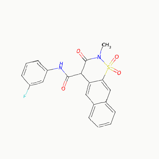 CN1C(=O)C(C(=O)Nc2cccc(F)c2)c2cc3ccccc3cc2S1(=O)=O